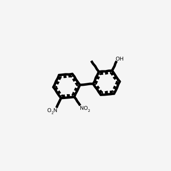 Cc1c(O)cccc1-c1cccc([N+](=O)[O-])c1[N+](=O)[O-]